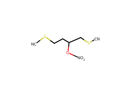 N#CSCCC(CSC#N)O[N+](=O)[O-]